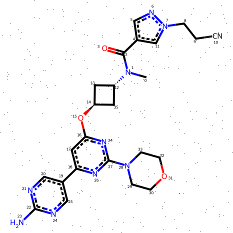 CN(C(=O)c1cnn(CCC#N)c1)[C@H]1C[C@H](Oc2cc(-c3cnc(N)nc3)nc(N3CCOCC3)n2)C1